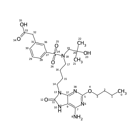 CCCCOc1nc(N)c2[nH]c(=O)n(CCCCN(CC(C)(C)O)S(=O)(=O)c3cccc(CC(=O)O)c3)c2n1